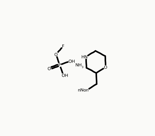 CCCCCCCCCCC1CNCCO1.N.O=P(O)(O)OF